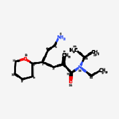 C=C(CC(CCN)C1CCCCO1)C(=O)N(CC)C(C)C